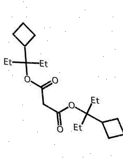 CCC(CC)(OC(=O)CC(=O)OC(CC)(CC)C1CCC1)C1CCC1